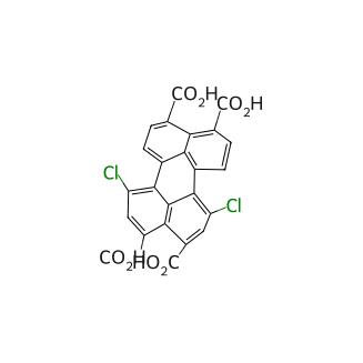 O=C(O)c1ccc2c3c(Cl)cc(C(=O)O)c4c(C(=O)O)cc(Cl)c(c5ccc(C(=O)O)c1c25)c43